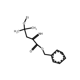 CCOC(C)(C)CC(=N)C(=O)OCc1ccccc1